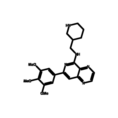 COc1cc(-c2cc3nccnc3c(NCC3CCCNC3)n2)cc(OC)c1OC